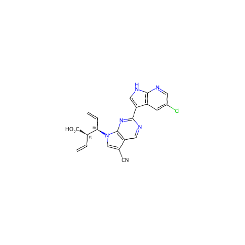 C=C[C@H]([C@@H](C=C)C(=O)O)n1cc(C#N)c2cnc(-c3c[nH]c4ncc(Cl)cc34)nc21